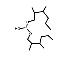 CCCC(C)C(C)COP(O)OCC(C)C(C)CCC